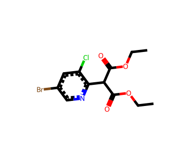 CCOC(=O)C(C(=O)OCC)c1ncc(Br)cc1Cl